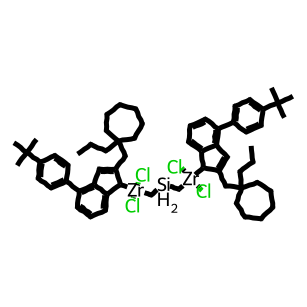 CCCC1(CC2=Cc3c(-c4ccc(C(C)(C)C)cc4)cccc3[CH]2[Zr]([Cl])([Cl])[CH2][SiH2][CH2][Zr]([Cl])([Cl])[CH]2C(CC3(CCC)CCCCCC3)=Cc3c(-c4ccc(C(C)(C)C)cc4)cccc32)CCCCCC1